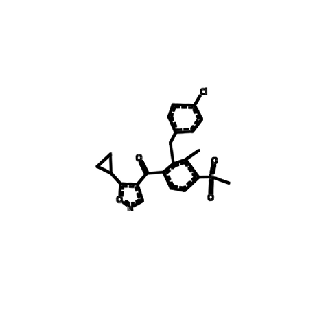 Cc1c(S(C)(=O)=O)ccc(C(=O)c2cnoc2C2CC2)c1Cc1ccc(Cl)cc1